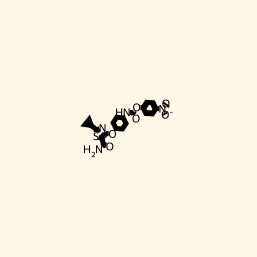 NC(=O)c1sc(C2CC2)nc1O[C@H]1CC[C@H](NC(=O)Oc2ccc([N+](=O)[O-])cc2)CC1